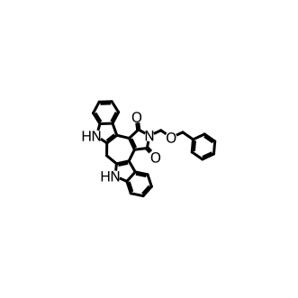 O=C1C2=C(C(=O)N1COCc1ccccc1)c1c([nH]c3ccccc13)Cc1[nH]c3ccccc3c12